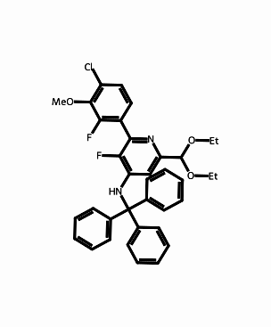 CCOC(OCC)c1cc(NC(c2ccccc2)(c2ccccc2)c2ccccc2)c(F)c(-c2ccc(Cl)c(OC)c2F)n1